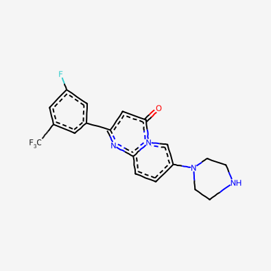 O=c1cc(-c2cc(F)cc(C(F)(F)F)c2)nc2ccc(N3CCNCC3)cn12